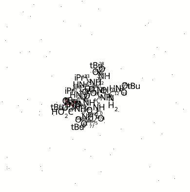 CC(NCC[C@H](NC(=O)[C@@H](N)CCNC(=O)OC(C)(C)C)C(=O)N[C@@H](CCNC(=O)OC(C)(C)C)C(=O)N[C@H](CC(C)C)C(=O)N[C@@H](CC(C)C)C(=O)N[C@@H](CCNC(=O)OC(C)(C)C)C(=O)N[C@@H](CCNC(=O)OC(C)(C)C)C(=O)N[C@H](C(=O)O)[C@@H](C)OC(C)(C)C)=C1C(=O)CC(C)(C)CC1=O